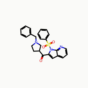 O=C(c1cc2cccnc2n1S(=O)(=O)c1ccccc1)C1CCN(Cc2ccccc2)C1